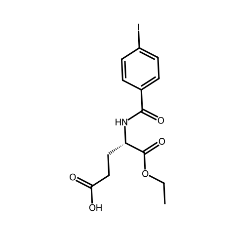 CCOC(=O)[C@H](CCC(=O)O)NC(=O)c1ccc(I)cc1